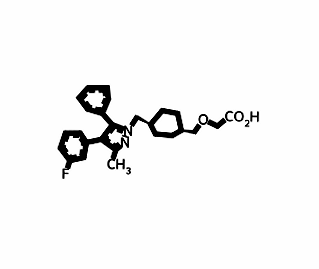 Cc1nn(C[C@H]2CC[C@@H](COCC(=O)O)CC2)c(-c2ccccc2)c1-c1cccc(F)c1